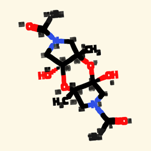 CC(C)(C)C(=O)N1C[C@@]2(O)O[C@@]3(C)CN(C(=O)C(C)(C)C)C[C@]3(O)O[C@@]2(C)C1